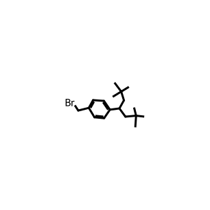 CC(C)(C)CC(CC(C)(C)C)c1ccc(CBr)cc1